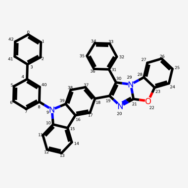 c1ccc(-c2cccc(-n3c4ccccc4c4cc(-c5nc6oc7ccccc7n6c5-c5ccccc5)ccc43)c2)cc1